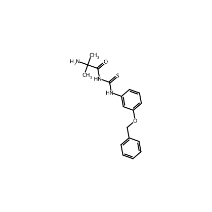 CC(C)(N)C(=O)NC(=S)Nc1cccc(OCc2ccccc2)c1